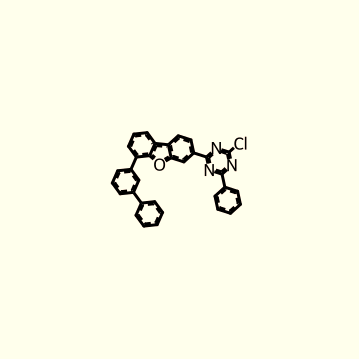 Clc1nc(-c2ccccc2)nc(-c2ccc3c(c2)oc2c(-c4cccc(-c5ccccc5)c4)cccc23)n1